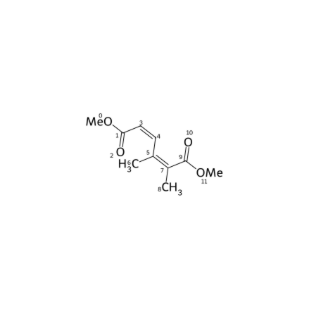 COC(=O)/C=C\C(C)=C(\C)C(=O)OC